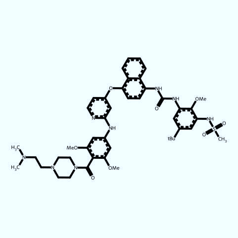 COc1cc(Nc2cc(Oc3ccc(NC(=O)Nc4cc(C(C)(C)C)cc(NS(C)(=O)=O)c4OC)c4ccccc34)ccn2)cc(OC)c1C(=O)N1CCN(CCN(C)C)CC1